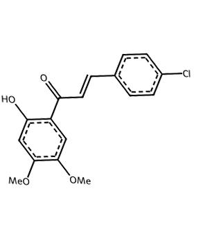 COc1cc(O)c(C(=O)/C=C/c2ccc(Cl)cc2)cc1OC